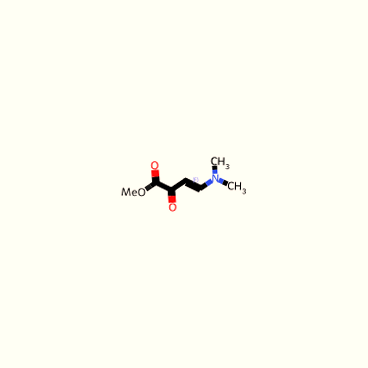 COC(=O)C(=O)/C=C/N(C)C